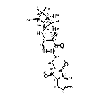 C[C@H]1[C@H]2C[C@H](C[C@H]1Nc1cnn(CCN3C(=O)c4ccccc4C3=O)c(=O)c1Br)C2(C)C